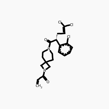 C=CC(=O)N1CC2(CCN(C(=O)[C@H](CC=C(Cl)Cl)c3ccccc3Cl)CC2)C1